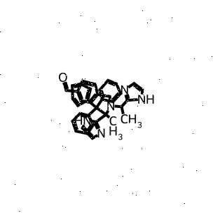 CC(c1ncc[nH]1)N(Cc1ccc(C=O)cc1)C(C)(c1ncc[nH]1)C(c1ccccc1)(c1ccccc1)c1ccccc1